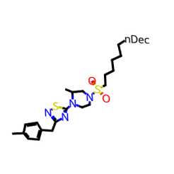 CCCCCCCCCCCCCCCCS(=O)(=O)N1CCN(c2nc(Cc3ccc(C)cc3)ns2)C(C)C1